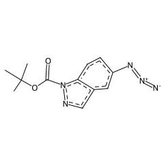 CC(C)(C)OC(=O)n1ncc2cc(N=[N+]=[N-])ccc21